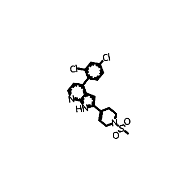 CS(=O)(=O)N1CC=C(c2cc3c(-c4ccc(Cl)cc4Cl)ccnc3[nH]2)CC1